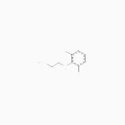 CCCCc1cccc(I)c1OCCOC